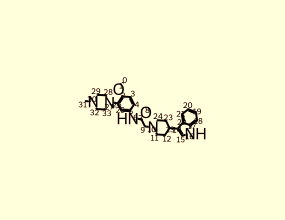 COc1ccc(NC(=O)CN2CCC(c3c[nH]c4ccccc34)CC2)cc1N1CCN(C)CC1